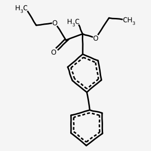 CCOC(=O)C(C)(OCC)c1ccc(-c2ccccc2)cc1